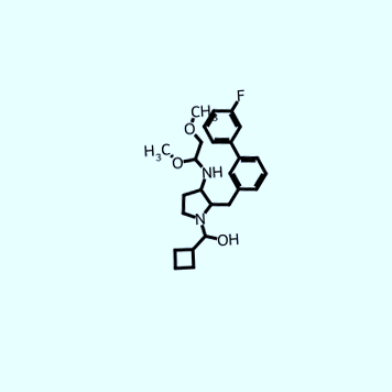 COCC(NC1CCN(C(O)C2CCC2)C1Cc1cccc(-c2cccc(F)c2)c1)OC